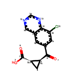 O=C(O)[C@H]1C[C@@H]1C(=O)c1cc(Cl)c2ncncc2c1